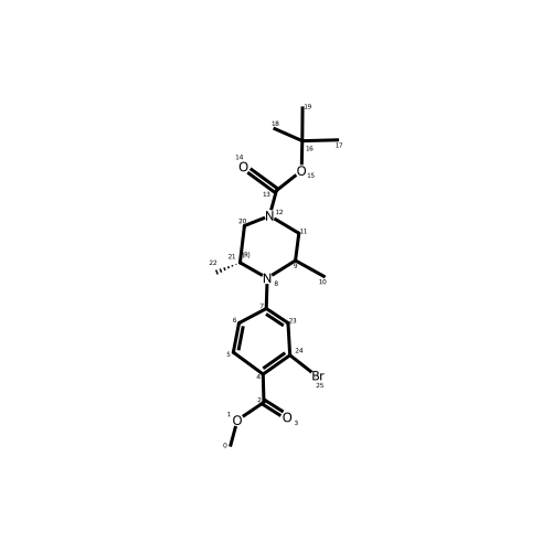 COC(=O)c1ccc(N2C(C)CN(C(=O)OC(C)(C)C)C[C@H]2C)cc1Br